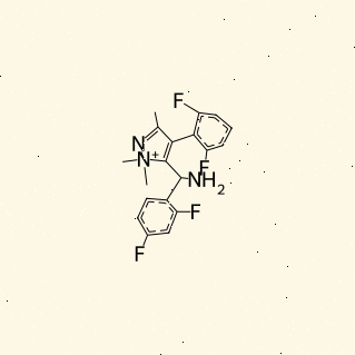 CC1=N[N+](C)(C)C(C(N)c2ccc(F)cc2F)=C1c1c(F)cccc1F